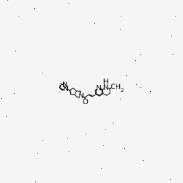 C=C1CCc2cc(/C=C/C(=O)N3CC4C=C(n5cccn5)CC4C3)cnc2N1